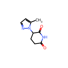 Cc1ccnn1C1CCC(=O)NC1=O